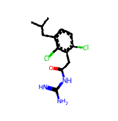 CC(C)Cc1ccc(Cl)c(CC(=O)NC(=N)N)c1Cl